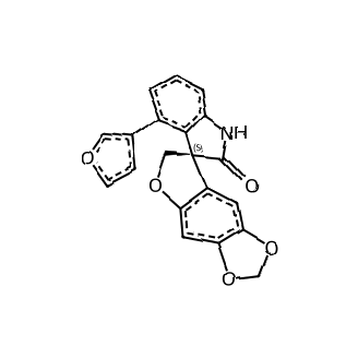 O=C1Nc2cccc(-c3ccoc3)c2[C@]12COc1cc3c(cc12)OCO3